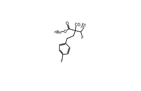 CCCCOC(=O)C(CCc1ccc(F)cc1)(C(=O)OCC)C(F)F